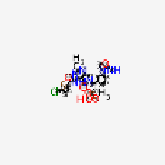 CS(=O)(=O)O.Cc1nc2c(c(NC(=O)c3ccc(Cl)s3)n1)C(=O)N(Cc1cccc(N3CCOC3=N)c1)C2